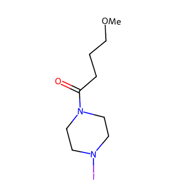 COCCCC(=O)N1CCN(I)CC1